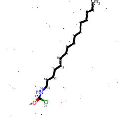 CCCCCCCCCCCCCCCCNC(=O)Cl